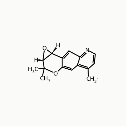 [CH2]c1ccnc2cc3c(cc12)OC(C)(C)[C@@H]1O[C@H]31